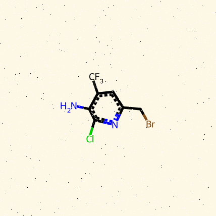 Nc1c(C(F)(F)F)cc(CBr)nc1Cl